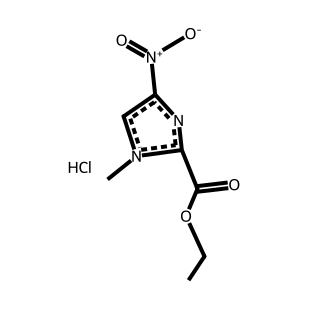 CCOC(=O)c1nc([N+](=O)[O-])cn1C.Cl